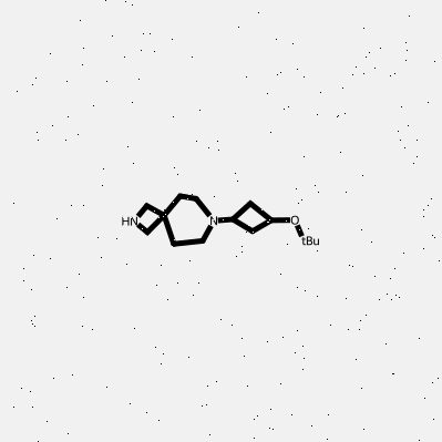 CC(C)(C)OC1CC(N2CCC3(CC2)CNC3)C1